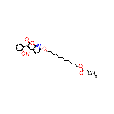 CCC(=O)OCCCCCCCCCCCOc1ccc2cc(-c3ccccc3O)c(=O)oc2n1